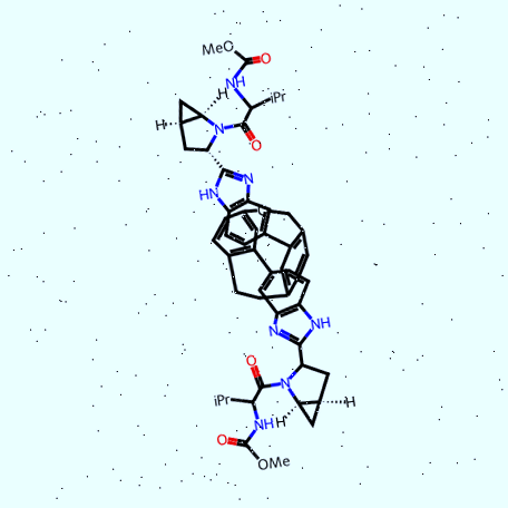 COC(=O)NC(C(=O)N1C(c2nc3cc(-c4cc5ccc4CCc4ccc(c(-c6ccc7[nH]c([C@@H]8C[C@H]9C[C@H]9N8C(=O)C(NC(=O)OC)C(C)C)nc7c6)c4)CC5)ccc3[nH]2)C[C@H]2C[C@H]21)C(C)C